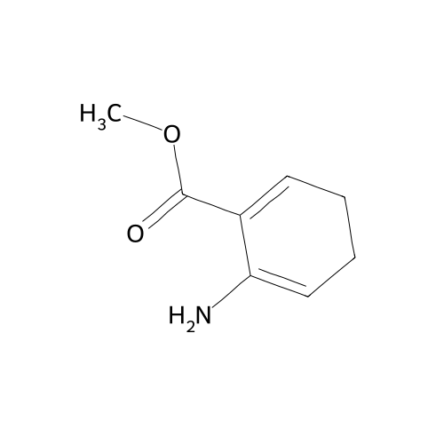 COC(=O)C1=CCCC=C1N